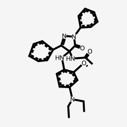 CCN(CC)c1ccc(NC2(NC(C)=O)C(=O)N(c3ccccc3)N=C2c2ccccc2)c(OC)c1